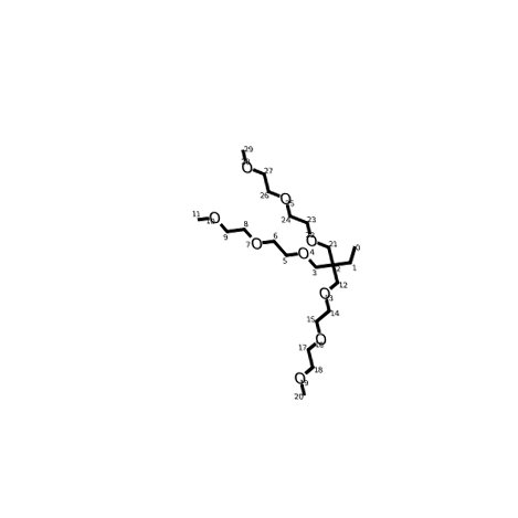 CCC(COCCOCCOC)(COCCOCCOC)COCCOCCOC